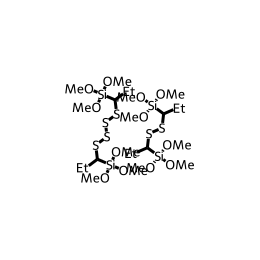 CCC(SSC(CC)[Si](OC)(OC)OC)[Si](OC)(OC)OC.CCC(SSSSC(CC)[Si](OC)(OC)OC)[Si](OC)(OC)OC